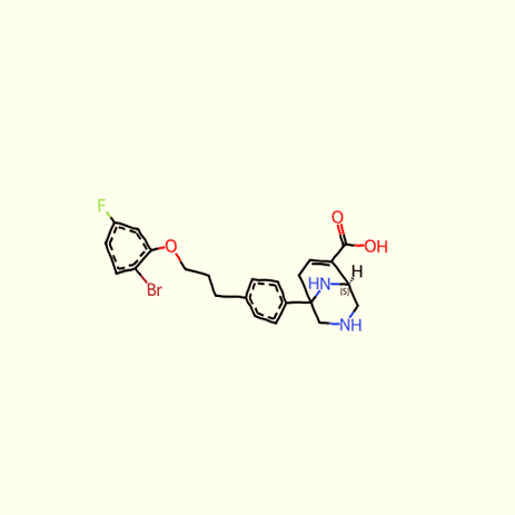 O=C(O)C1=CCC2(c3ccc(CCCOc4cc(F)ccc4Br)cc3)CNC[C@H]1N2